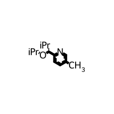 Cc1ccc([C@H](OC(C)C)C(C)C)nc1